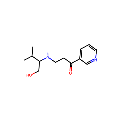 CC(C)C(CO)NCCC(=O)c1cccnc1